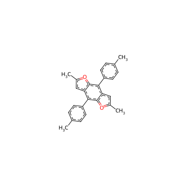 Cc1ccc(-c2c3cc(C)oc3c(-c3ccc(C)cc3)c3cc(C)oc23)cc1